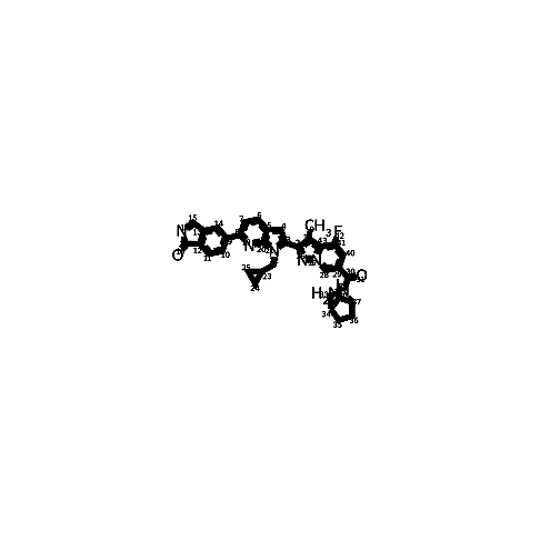 Cc1c(-c2cc3ccc(-c4ccc5c(c4)C=NC5=O)nc3n2CC2CC2)nn2cc(C(=O)N3CC4CCC3[C@@H]4N)cc(F)c12